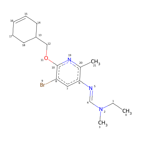 CCN(C)/C=N/c1cc(Br)c(OCC2CC=CCC2)nc1C